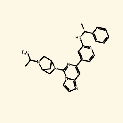 CC(N1CC2CC1CN2c1nc(-c2ccnc(N[C@@H](C)c3ccccc3)c2)cc2nccn12)C(F)(F)F